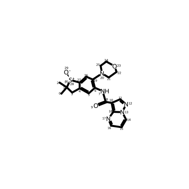 CC1(C)Cc2cc(NC(=O)c3cnn4cccnc34)c(N3CCOCC3)cc2[S@@+]1[O-]